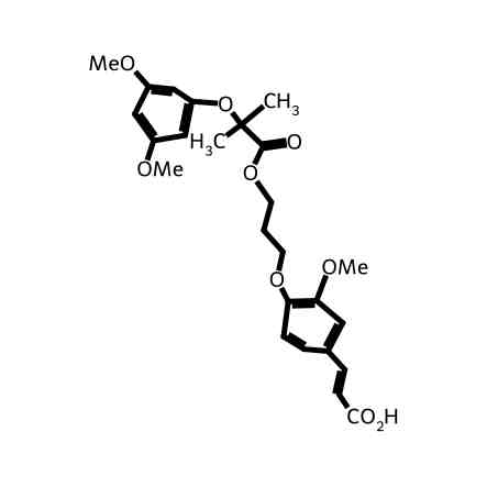 COc1cc(OC)cc(OC(C)(C)C(=O)OCCCOc2ccc(/C=C/C(=O)O)cc2OC)c1